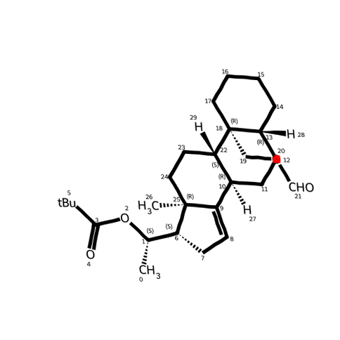 C[C@H](OC(=O)C(C)(C)C)[C@H]1CC=C2[C@@H]3CC[C@H]4CCCC[C@]4(COC=O)[C@H]3CC[C@@]21C